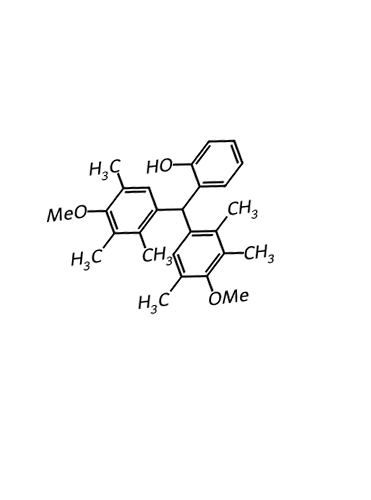 COc1c(C)cc(C(c2ccccc2O)c2cc(C)c(OC)c(C)c2C)c(C)c1C